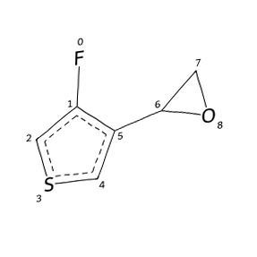 Fc1cscc1C1CO1